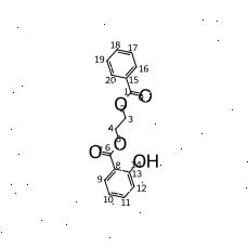 O=C(OCCOC(=O)c1ccccc1O)c1ccccc1